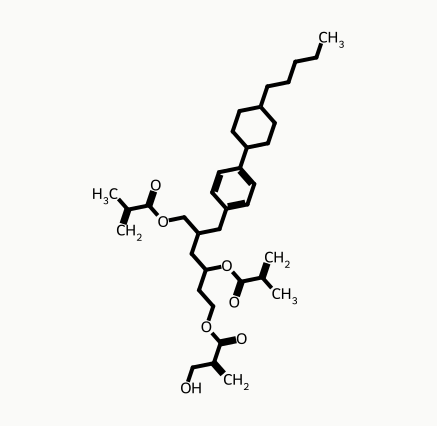 C=C(C)C(=O)OCC(Cc1ccc(C2CCC(CCCCC)CC2)cc1)CC(CCOC(=O)C(=C)CO)OC(=O)C(=C)C